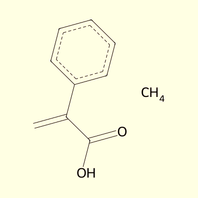 C.C=C(C(=O)O)c1ccccc1